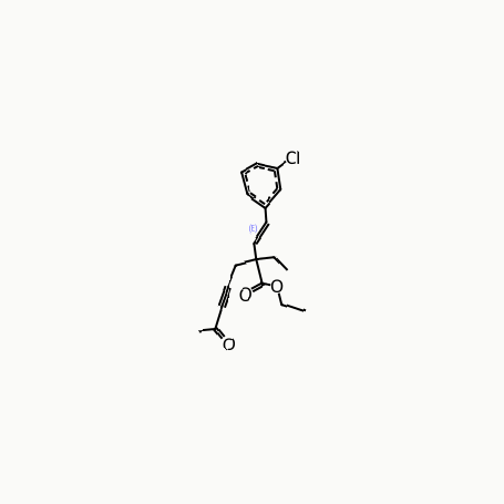 CCOC(=O)C(/C=C/c1cccc(Cl)c1)(CC)CC#CC(C)=O